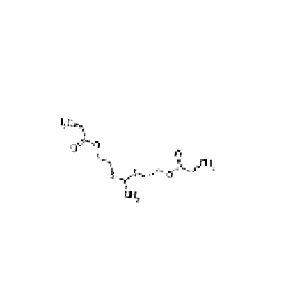 C=CC(=O)OCCSC(C)SCCOC(=O)C=C